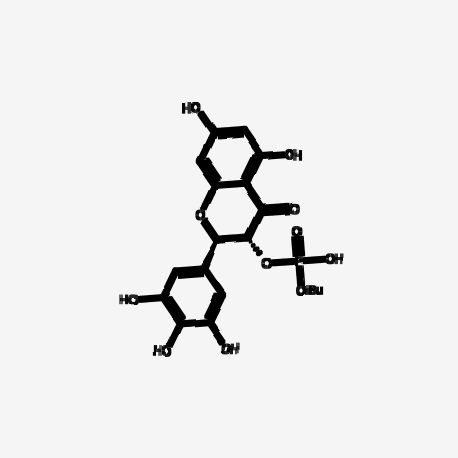 CC(C)COP(=O)(O)O[C@H]1C(=O)c2c(O)cc(O)cc2O[C@@H]1c1cc(O)c(O)c(O)c1